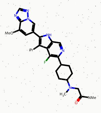 CNC(=O)CN(C)C1CCC(c2ncc3[nH]c(-c4cc(OC)c5ncnn5c4)c(C(C)C)c3c2F)CC1